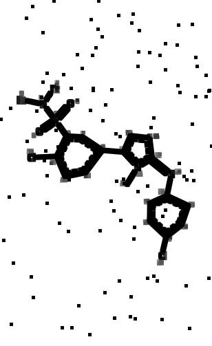 CCN(CC)S(=O)(=O)c1cc(-c2csc(=Nc3ccc(Cl)cc3)n2C)ccc1Cl